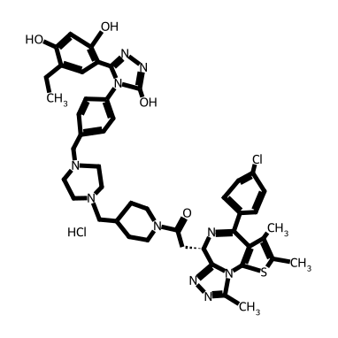 CCc1cc(-c2nnc(O)n2-c2ccc(CN3CCN(CC4CCN(C(=O)C[C@@H]5N=C(c6ccc(Cl)cc6)c6c(sc(C)c6C)-n6c(C)nnc65)CC4)CC3)cc2)c(O)cc1O.Cl